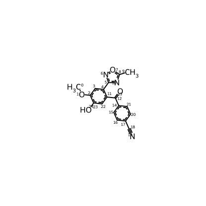 COc1cc(-c2noc(C)n2)c(C(=O)c2ccc(C#N)cc2)cc1O